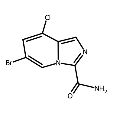 NC(=O)c1ncc2c(Cl)cc(Br)cn12